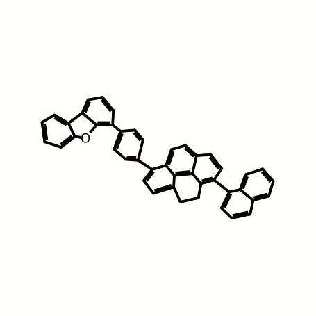 c1ccc2c(-c3ccc4ccc5c(-c6ccc(-c7cccc8c7oc7ccccc78)cc6)ccc6c5c4c3CC6)cccc2c1